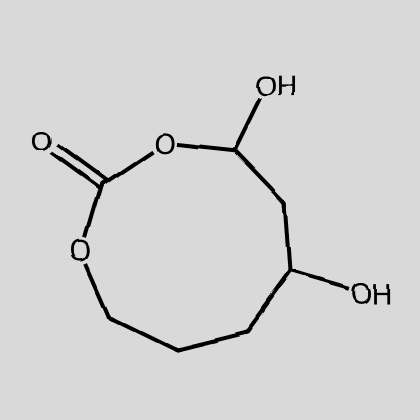 O=C1OCCCC(O)CC(O)O1